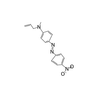 C=CCN(C)c1ccc(N=Nc2ccc([N+](=O)[O-])cc2)cc1